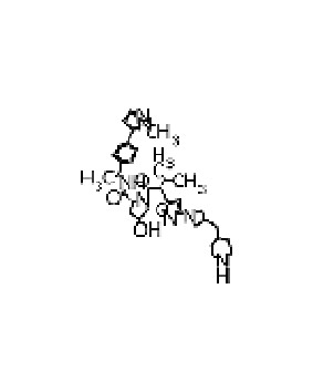 CC(C)[C@H](C(=O)N1C[C@H](O)C[C@H]1C(=O)N[C@@H](C)c1ccc(-c2ccnn2C)cc1)c1cc(N2CC(CC3CCNCC3)C2)no1